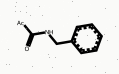 CC(=O)C(=O)NCc1ccccc1